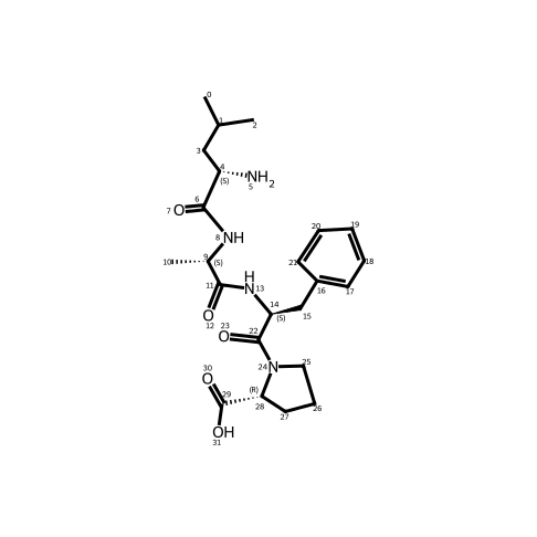 CC(C)C[C@H](N)C(=O)N[C@@H](C)C(=O)N[C@@H](Cc1ccccc1)C(=O)N1CCC[C@@H]1C(=O)O